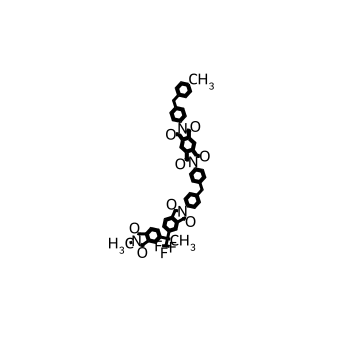 Cc1ccc(Cc2ccc(-n3c(=O)c4cc5c(=O)n(-c6ccc(Cc7ccc(N8C(=O)c9ccc(C(C)(c%10ccc%11c(c%10)C(=O)N(C)C%11=O)C(F)(F)F)cc9C8=O)cc7)cc6)c(=O)c5cc4c3=O)cc2)cc1